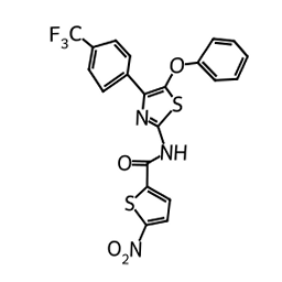 O=C(Nc1nc(-c2ccc(C(F)(F)F)cc2)c(Oc2ccccc2)s1)c1ccc([N+](=O)[O-])s1